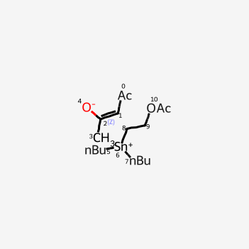 CC(=O)/C=C(/C)[O-].CCC[CH2][Sn+]([CH2]CCC)[CH2]COC(C)=O